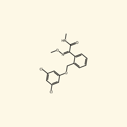 CNC(=O)C(=NOC)c1ccccc1COc1cc(Cl)cc(Cl)c1